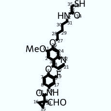 COc1cc2c(Oc3ccc(NC(=O)C4(C=O)CC4)cc3F)ccnc2cc1OCCCCCNC(=O)CS